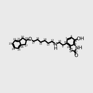 O=c1[nH]c2c(O)ccc(CCNCCCCCCOC3Cc4ccccc4C3)c2s1